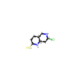 Sc1ccc2cnc(Cl)cc2n1